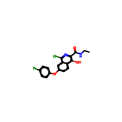 CCNC(=O)c1nc(Cl)c2cc(Oc3ccc(F)cc3)ccc2c1O